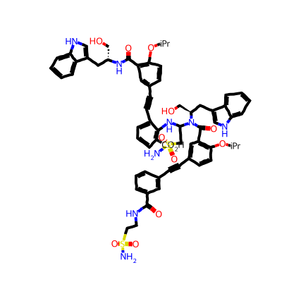 CC(C)Oc1ccc(C#Cc2cccc(C(=O)O)c2NC(CS(N)(=O)=O)N(C(=O)c2cc(C#Cc3cccc(C(=O)NCCS(N)(=O)=O)c3)ccc2OC(C)C)[C@@H](CO)Cc2c[nH]c3ccccc23)cc1C(=O)N[C@@H](CO)Cc1c[nH]c2ccccc12